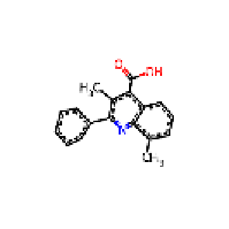 Cc1c(-c2ccccc2)nc2c(C)cccc2c1C(=O)O